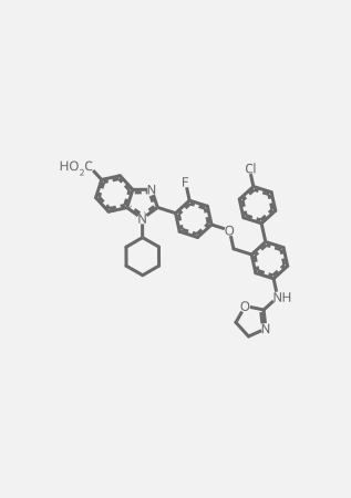 O=C(O)c1ccc2c(c1)nc(-c1ccc(OCc3cc(NC4=NCCO4)ccc3-c3ccc(Cl)cc3)cc1F)n2C1CCCCC1